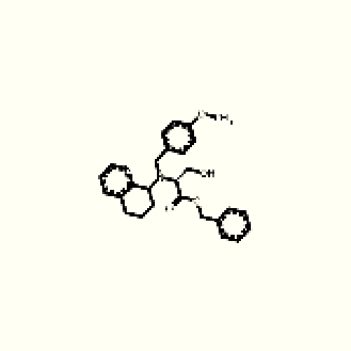 COc1ccc(CN(C2CCCc3cccnc32)[C@@H](CO)C(=O)OCc2ccccc2)cc1